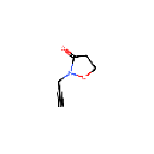 C#CCN1OC[CH]C1=O